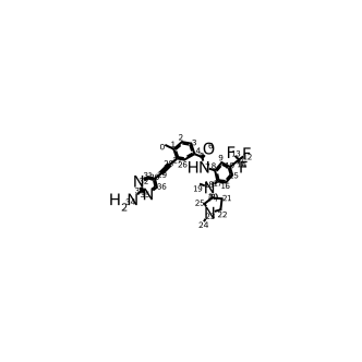 Cc1ccc(C(=O)Nc2cc(C(F)(F)F)ccc2N(C)[C@@H]2CCN(C)C2)cc1C#Cc1cnc(N)nc1